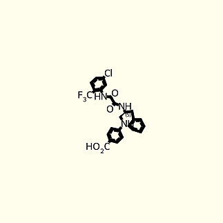 O=C(Nc1cc(Cl)ccc1C(F)(F)F)C(=O)N[C@H](CNc1ccc(C(=O)O)cc1)Cc1ccccc1